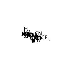 N#Cc1c(-c2ccc(S(=O)(=O)NC3(C(F)(F)F)CC3)cn2)n(C2=CC=C2)c2ncc(C(F)(F)F)cc12